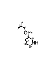 C=C(C)COC(C)C1CNCCO1